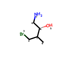 CC(CBr)[C@@H](O)CN